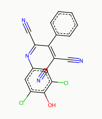 N#CC(C#N)=C(/C(C#N)=N\c1cc(Cl)c(O)c(Cl)c1)c1ccccc1